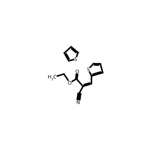 CCOC(=O)C(C#N)=Cc1cc[c]s1.[c]1cccs1